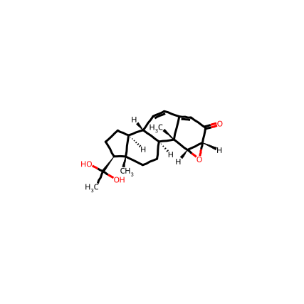 CC(O)(O)[C@H]1CC[C@H]2[C@@H]3C=CC4=CC(=O)[C@@H]5O[C@@H]5[C@]4(C)[C@H]3CC[C@]12C